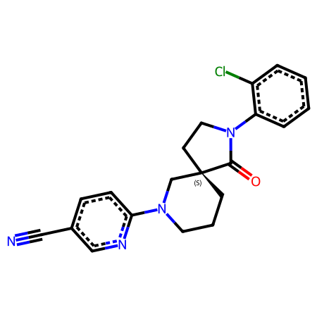 N#Cc1ccc(N2CCC[C@]3(CCN(c4ccccc4Cl)C3=O)C2)nc1